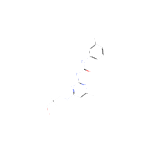 Cc1cc(NCC(F)(F)CO)nc(NC(=O)Nc2cccc(C(F)(F)F)c2)n1